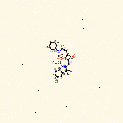 CCCCCCCCN1/C(=C\C2=C(O)C(=C\C3=[N+](CCCCCCCC)c4ccc(Cl)cc4C3(C)C)/C2=O)Sc2ccccc21